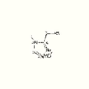 Cl.Cn1cnnc1CCl